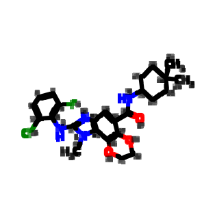 Cn1c(Nc2c(F)cccc2Cl)nc2cc(C(=O)NC3CCC(C)(C)CC3)c3c(c21)OCCO3